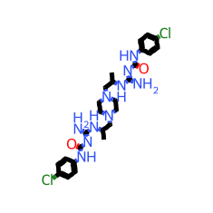 CC(CN1CCN(CC(C)NC(N)=NC(=O)Nc2ccc(Cl)cc2)CC1)NC(N)=NC(=O)Nc1ccc(Cl)cc1